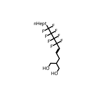 CCCCCCCC(F)(F)C(F)(F)C(F)(F)C(F)(F)/C=C/CC(CO)CO